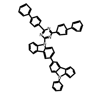 c1ccc(-c2ccc(-c3nc(-c4ccc(-c5ccccc5)cc4)nc(-n4c5ccccc5c5cc(-c6ccc7c(c6)c6ccccc6n7-c6ccccc6)ccc54)n3)cc2)cc1